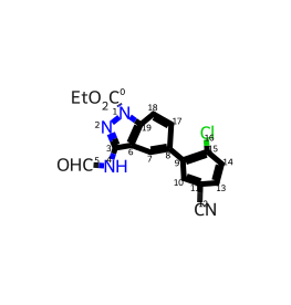 CCOC(=O)n1nc(NC=O)c2cc(-c3cc(C#N)ccc3Cl)ccc21